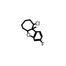 CC12c3ccc(F)cc3OC1CCCCC2Cl